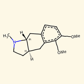 COc1ccc2c(c1OC)C[C@H]1CCN(C)[C@@H]1C2